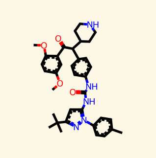 COc1ccc(OC)c(C(=O)C(c2ccc(NC(=O)Nc3cc(C(C)(C)C)nn3-c3ccc(C)cc3)cc2)C2CCNCC2)c1